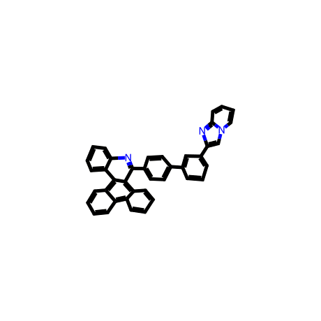 c1cc(-c2ccc(-c3nc4ccccc4c4c5ccccc5c5ccccc5c34)cc2)cc(-c2cn3ccccc3n2)c1